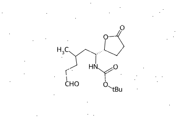 CC(CCC=O)CC(NC(=O)OC(C)(C)C)[C@H]1CCC(=O)O1